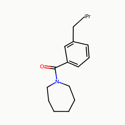 CC(C)Cc1cccc(C(=O)N2CCCCCC2)c1